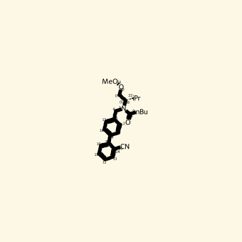 CCCCC(=O)N(Cc1ccc(-c2ccccc2C#N)cc1)[C@H](COOC)C(C)C